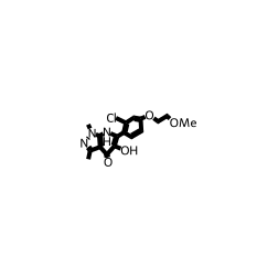 COCCOc1ccc(-c2[nH]c3c(c(C)nn3C)c(=O)c2O)c(Cl)c1